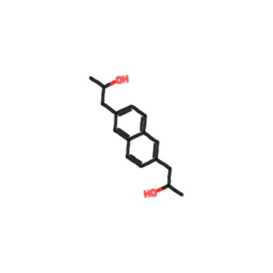 CC(O)Cc1ccc2cc(CC(C)O)ccc2c1